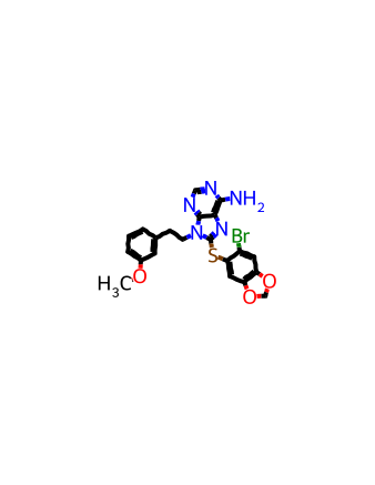 COc1cccc(CCn2c(Sc3cc4c(cc3Br)OCO4)nc3c(N)ncnc32)c1